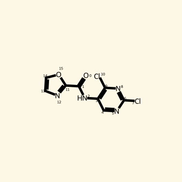 O=C(Nc1cnc(Cl)nc1Cl)c1ncco1